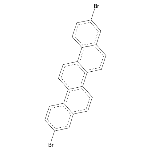 Brc1ccc2c(ccc3c2ccc2c4ccc(Br)cc4ccc23)c1